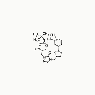 CN(C)c1cccc(-c2ccc(Cn3cnn(C/C(=C\F)COC(=O)NC(C)(C)C)c3=O)s2)c1